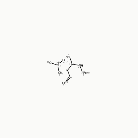 C=CCN(CCC)NCCCCC.C[NH+](C)[O-]